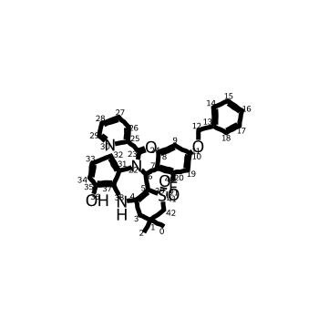 CC1(C)CC2=C(C(c3ccc(OCc4ccccc4)cc3F)N(C(=O)c3ccccn3)c3cccc(O)c3N2)S(=O)(=O)C1